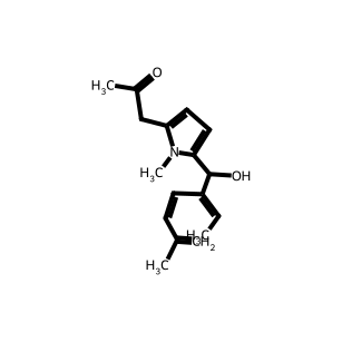 C=C(C)/C=C\C(=C/C)C(O)c1ccc(CC(C)=O)n1C